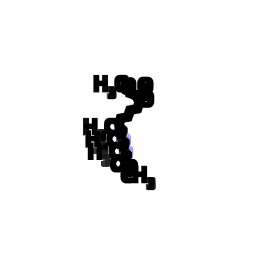 COCC1C(=O)OC1CCCCC(C)C/C(C)=C/C(C)=C/C(=O)OC